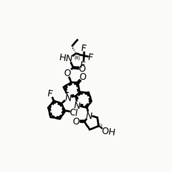 CC[C@@H](NC(=O)Oc1cn(-c2c(F)cccc2Cl)c2nc(N3C[C@@H](O)CC3=O)ccc2c1=O)C(F)(F)F